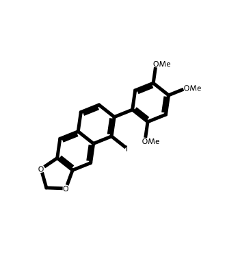 COc1cc(OC)c(-c2ccc3cc4c(cc3c2I)OCO4)cc1OC